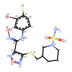 NS(=O)(=O)N1CCCC(CSc2nonc2/C(=N/O)Nc2ccc(F)c(Br)c2)C1